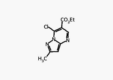 CCOC(=O)c1cnc2cc(C)nn2c1Cl